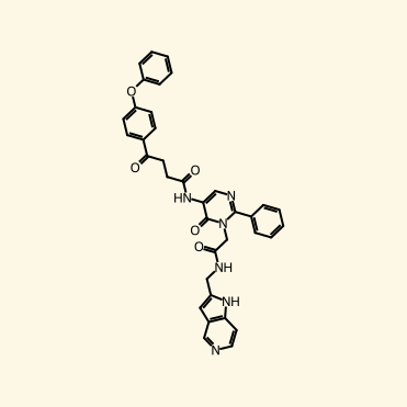 O=C(Cn1c(-c2ccccc2)ncc(NC(=O)CCC(=O)c2ccc(Oc3ccccc3)cc2)c1=O)NCc1cc2cnccc2[nH]1